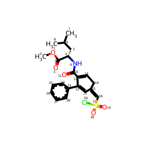 COC(=O)[C@H](CC(C)C)NC(=O)C1=CCC(=CS(=O)(=O)Cl)C=C1c1ccccc1